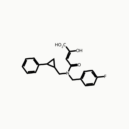 O=C(O)C(O)=CC(=O)N(Cc1ccc(F)cc1)CC1CC1c1ccccc1